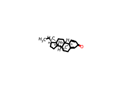 CC[C@@H]1CC[C@H]2[C@@H]3CCC4=CC(=O)C=C[C@]4(C)[C@H]3CC[C@]12C